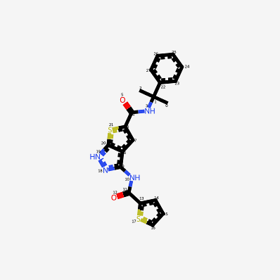 CC(C)(NC(=O)c1cc2c(NC(=O)c3cccs3)n[nH]c2s1)c1ccccc1